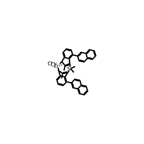 CC1=C2c3c(-c4ccc5ccccc5c4)cccc3[CH]1[Zr+2][CH]1C(C)=C(c3c(-c4ccc5ccccc5c4)cccc31)[Si]2(C)C.[Cl-].[Cl-]